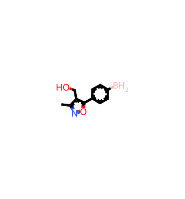 Bc1ccc(-c2onc(C)c2CO)cc1